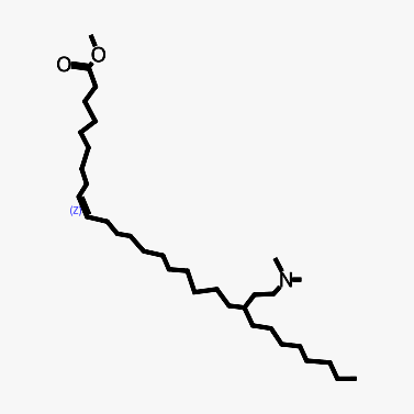 CCCCCCCCC(CCCCCCCCCC/C=C\CCCCCCCC(=O)OC)CCN(C)C